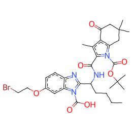 CCCCC(NC(=O)c1c(C)c2c(n1C(=O)OC(C)(C)C)CC(C)(C)CC2=O)c1nc2ccc(OCCBr)cc2n1C(=O)O